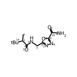 CC(C(=O)NCc1nnc(C(N)=O)o1)C(C)(C)C